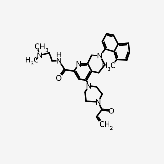 C=CC(=O)N1CCN(c2cc(C(=O)NCCN(C)C)nc3c2CCN(c2cccc4cccc(C)c24)C3)CC1